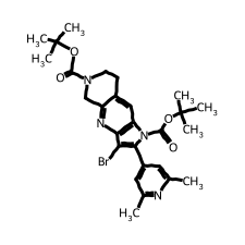 Cc1cc(-c2c(Br)c3nc4c(cc3n2C(=O)OC(C)(C)C)CCN(C(=O)OC(C)(C)C)C4)cc(C)n1